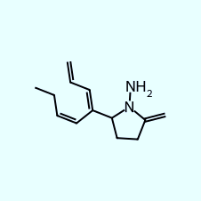 C=C/C=C(\C=C/CC)C1CCC(=C)N1N